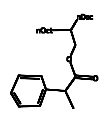 CCCCCCCCCCC(CCCCCCCC)COC(=O)C(C)c1ccccc1